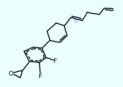 C=CCC/C=C/C1C=CC(c2ccc(C3CO3)c(F)c2F)CC1